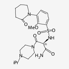 COc1c(N2CCCCC2=O)cccc1S(=O)(=O)N[C@@H](C(N)=O)C(=O)N1CCN(C(C)C)CC1